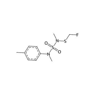 Cc1ccc(N(C)S(=O)(=O)N(C)SCF)cc1